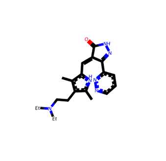 CCN(CC)CCc1c(C)[nH]c(/C=C2/C(=O)NN=C2c2cccnn2)c1C